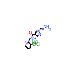 Cl.Cl.NCCn1cc(C(=O)NCc2ncccc2Cl)cn1